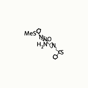 CSc1ccccc1CN1CCN(C(=O)[C@H](N)C2CCN(CCc3cscc3-c3ccccc3)CC2)CC1